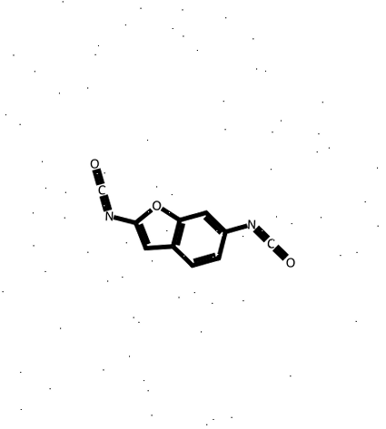 O=C=Nc1ccc2cc(N=C=O)oc2c1